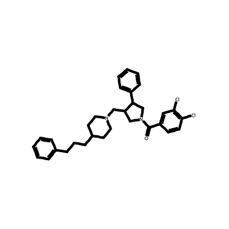 O=C(c1ccc(Cl)c(Cl)c1)N1CC(CN2CCC(CCCc3ccccc3)CC2)C(c2ccccc2)C1